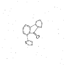 O=C1c2ccccc2-c2cccc(-c3cccs3)c21